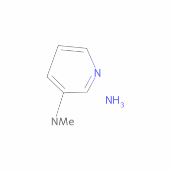 CNc1cccnc1.N